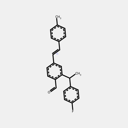 Cc1ccc(/C=C/c2ccc(C=O)c(C(C)c3ccc(F)cc3)c2)cc1